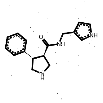 O=C(NCc1cc[nH]c1)[C@H]1CNC[C@@H]1c1ccccc1